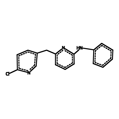 Clc1ccc(Cc2cccc(Nc3ccccc3)n2)cn1